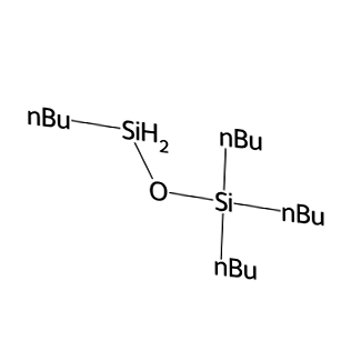 CCCC[SiH2]O[Si](CCCC)(CCCC)CCCC